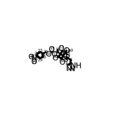 CO[N+]1(SC(=S)Cc2cnn[nH]2)C(=O)[C@@]2(C(C)OC(=O)OCc3ccc([N+](=O)[O-])cc3)C(=O)C(=O)[C@H]21